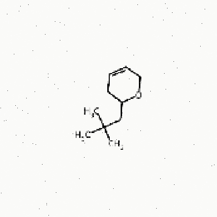 CC(C)(C)CC1CC=CCO1